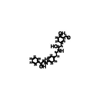 O=Cc1cc(CC(O)NCCc2ccc(NCC(O)c3ccccc3)cc2)ccc1O